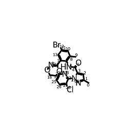 Cc1cc(C(=O)Nc2c(C)cc(Br)cc2C2=NOCCO2)n(-c2ncccc2Cl)n1